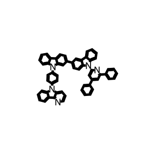 c1ccc(-c2cc(-c3ccccc3)nc(-n3c4ccccc4c4cc(-c5ccc6c7ccccc7n(-c7ccc(-n8c9ccccc9c9ncccc98)cc7)c6c5)ccc43)c2)cc1